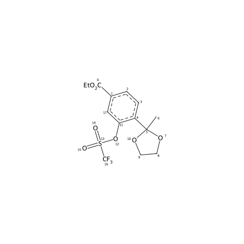 CCOC(=O)c1ccc(C2(C)OCCO2)c(OS(=O)(=O)C(F)(F)F)c1